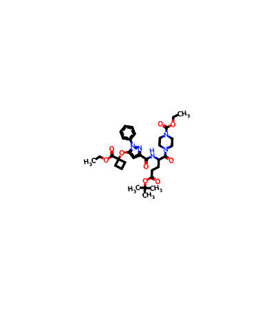 CCOC(=O)N1CCN(C(=O)C(CCC(=O)OC(C)(C)C)NC(=O)c2cc(OC3(C(=O)OCC)CCC3)n(-c3ccccc3)n2)CC1